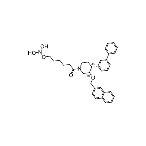 O=C(CCCCCON(O)O)N1CC[C@H](c2cccc(-c3ccccc3)c2)[C@@H](OCc2ccc3ccccc3c2)C1